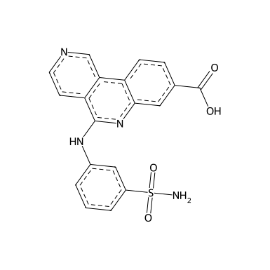 NS(=O)(=O)c1cccc(Nc2nc3cc(C(=O)O)ccc3c3cnccc23)c1